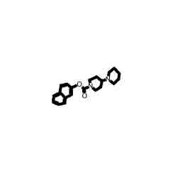 O=C(Oc1ccc2ccccc2c1)N1CCC(N2CCCCC2)CC1